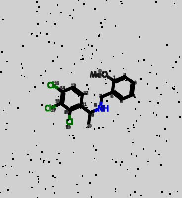 COc1ccccc1CNC(C)c1ccc(Cl)c(Cl)c1Cl